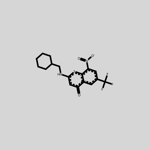 O=c1cc(NCC2CCCCC2)sc2c([N+](=O)[O-])cc(C(F)(F)F)cc12